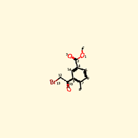 COC(=O)c1ccc(C)c(C(=O)CBr)c1